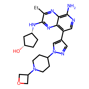 CCc1nc2c(N)ncc(-c3cnn(C4CCN(C5COC5)CC4)c3)c2nc1N[C@@H]1CC[C@H](O)C1